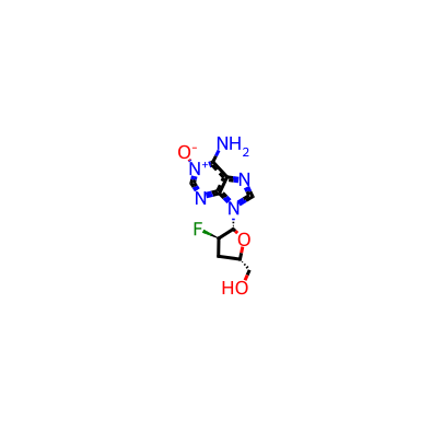 Nc1c2ncn([C@@H]3O[C@H](CO)C[C@H]3F)c2nc[n+]1[O-]